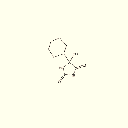 O=C1NC(=O)C(O)(C2CCCCC2)N1